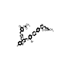 CCC[C@@H](O)Cn1ncn(-c2ccc(N3CCN(c4ccc(OCC5CO[C@](Cn6c[n+](Cc7ccc(OC(C)=O)c(Cl)c7)cn6)(c6ccc(F)cc6F)C5)cc4)CC3)cc2)c1=O.[Br-]